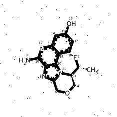 C[C@@H](F)[C@H]1COCc2nc3c(N)nc4cc(O)ccc4c3n21